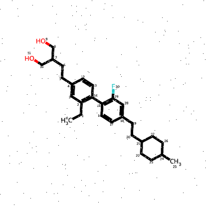 CCc1cc(CCC(CO)CO)ccc1-c1ccc(CCC2CCC(C)CC2)cc1F